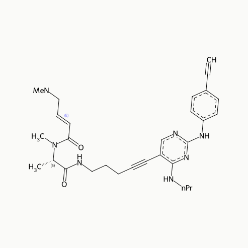 C#Cc1ccc(Nc2ncc(C#CCCCNC(=O)[C@H](C)N(C)C(=O)/C=C/CNC)c(NCCC)n2)cc1